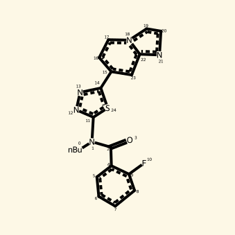 CCCCN(C(=O)c1ccccc1F)c1nnc(-c2ccn3ccnc3c2)s1